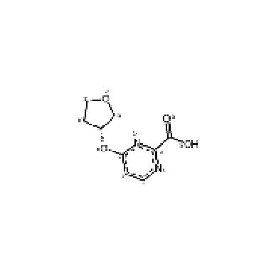 O=C(O)c1nccc(O[C@@H]2CCOC2)n1